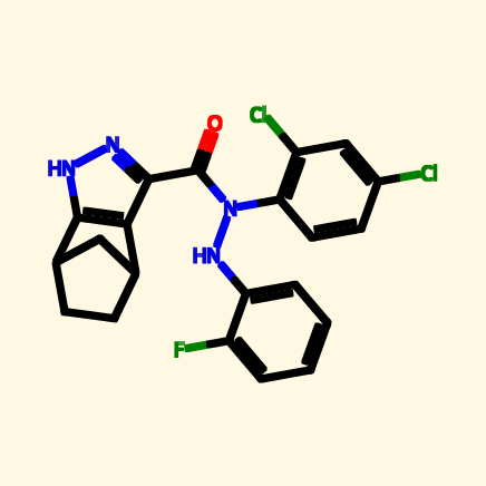 O=C(c1n[nH]c2c1C1CCC2C1)N(Nc1ccccc1F)c1ccc(Cl)cc1Cl